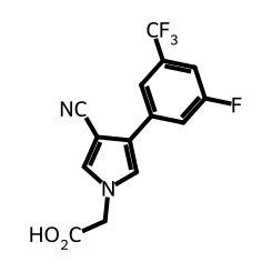 N#Cc1cn(CC(=O)O)cc1-c1cc(F)cc(C(F)(F)F)c1